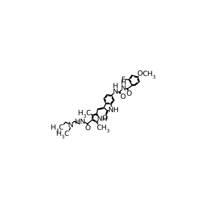 CCN(CC)CCNC(=O)c1c(C)[nH]c(C=C2C(=O)Nc3cc(NC(=O)NC(=O)c4ccc(OC)cc4F)ccc32)c1C